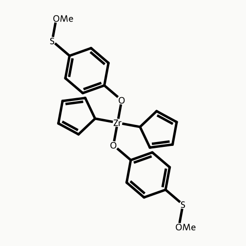 COSc1ccc([O][Zr]([O]c2ccc(SOC)cc2)([CH]2C=CC=C2)[CH]2C=CC=C2)cc1